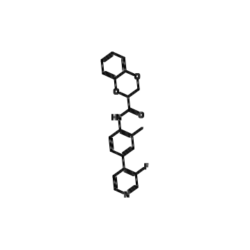 Cc1cc(-c2ccncc2F)ccc1NC(=O)C1COc2ccccc2O1